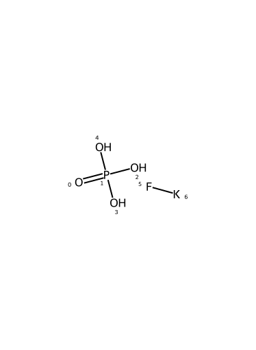 O=P(O)(O)O.[F][K]